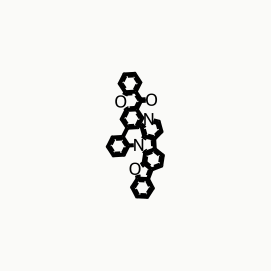 O=c1c2ccccc2oc2cc(-c3ccccc3-n3c4cnccc4c4ccc5c6ccccc6oc5c43)ccc12